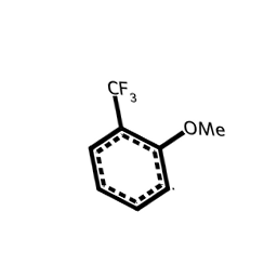 COc1[c]cccc1C(F)(F)F